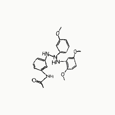 COc1cccc(N(Nc2cccc(NC(C)=O)c2)Nc2cc(OC)ccc2OC)c1